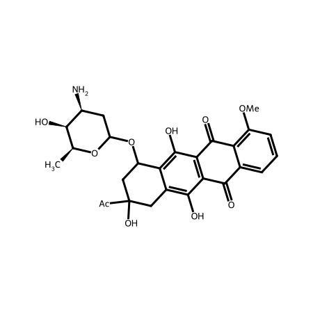 COc1cccc2c1C(=O)c1c(O)c3c(c(O)c1C2=O)CC(O)(C(C)=O)CC3OC1C[C@H](N)[C@H](O)[C@H](C)O1